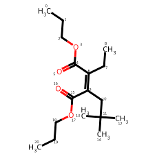 CCCOC(=O)/C(CC)=C(/CC(C)(C)C)C(=O)OCCC